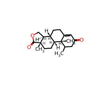 CC1CC(=O)C=C2CC[C@@H]3[C@@H](CC[C@]4(C)C(=O)OC[C@@H]34)[C@]21C